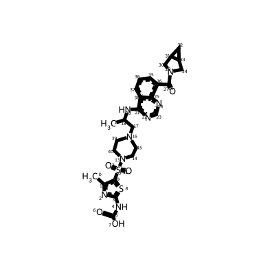 Cc1nc(NC(=O)O)sc1S(=O)(=O)N1CCN(CC(C)Nc2ncnc3c(C(=O)N4CC5CC5C4)cccc23)CC1